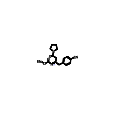 CC(C)(C)OC(=O)/N=C(\CC(=O)N1CCCC1)Cc1ccc(C#N)cc1